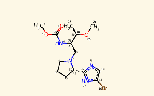 COC(=O)N[C@H](CN1CCC[C@H]1c1ncc(Br)[nH]1)[C@@H](C)OC